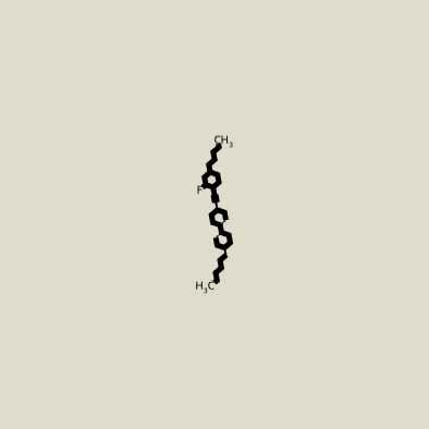 CCCCCC[C@H]1CC[C@H]([C@H]2CC[C@H](C#CC3CCC(CCCCC)CC3F)CC2)CC1